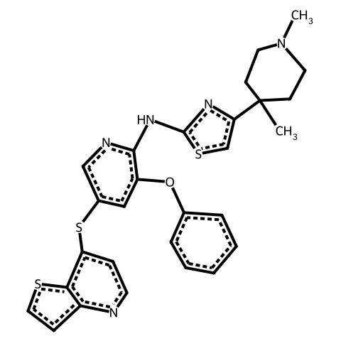 CN1CCC(C)(c2csc(Nc3ncc(Sc4ccnc5ccsc45)cc3Oc3ccccc3)n2)CC1